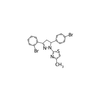 Cc1csc(N2N=C(c3ccccc3Br)CC2c2ccc(Br)cc2)n1